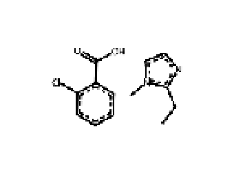 CCc1nccn1C.O=C(O)c1ccccc1Cl